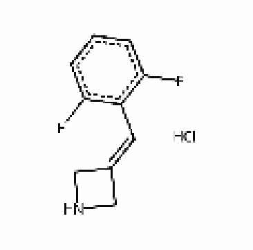 Cl.Fc1cccc(F)c1C=C1CNC1